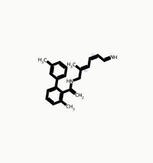 C=C(NC/C(C)=C/C=C\C=N)c1c(C)cccc1-c1cccc(C)c1